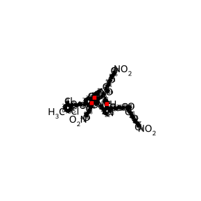 Cc1cc(Cl)c(OCCOc2ccc(C3=C(C(=O)N(Cc4ccnc(OCCCOC(=O)OCCOCCO[N+](=O)[O-])c4C)C4CC4)C4CN(C(=O)OCCOCCO[N+](=O)[O-])CC(C3)N4C(=O)OCCOCCO[N+](=O)[O-])cc2)c(Cl)c1